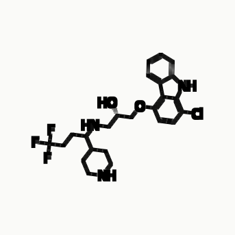 O[C@@H](CNC(CCC(F)(F)F)C1CCNCC1)COc1ccc(Cl)c2[nH]c3ccccc3c12